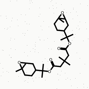 CC(C)(CC(=O)OC(C)(C)C1CCC2(C)OC2C1)CC(=O)OC(C)(C)C1CCC2(C)OC2C1